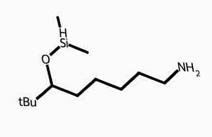 C[SiH](C)OC(CCCCCN)C(C)(C)C